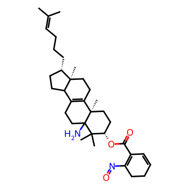 CC(C)=CCCC[C@H]1CCC2C3=C(CC[C@@]21C)[C@@]1(C)CC[C@H](OC(=O)C2=C(N=O)CCC=C2)C(C)(C)C1(N)CC3